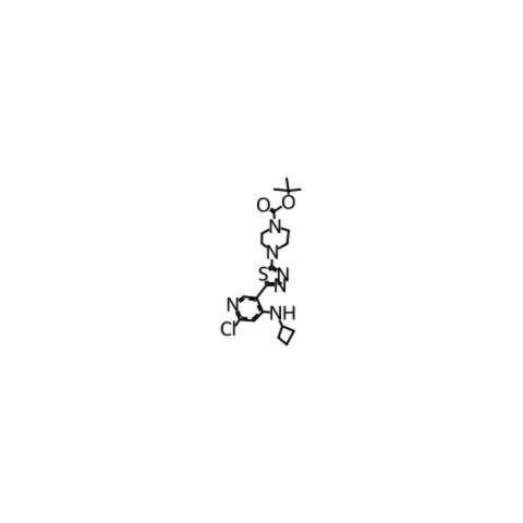 CC(C)(C)OC(=O)N1CCN(c2nnc(-c3cnc(Cl)cc3NC3CCC3)s2)CC1